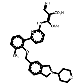 CO/C(Nc1cccc(-c2cccc(C(F)(F)F)c2OCc2ccc3c(c2)CN(C2CCOCC2)C3)n1)=C(/C=N)C(=O)O